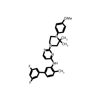 COc1ccc(N2CCN(c3nccc(Nc4cc(-c5cc(F)cc(F)c5)ccc4C)n3)CC2(C)C)cc1